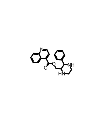 O=C(OCC1NCCNC1c1ccccc1)c1ccnc2ccccc12